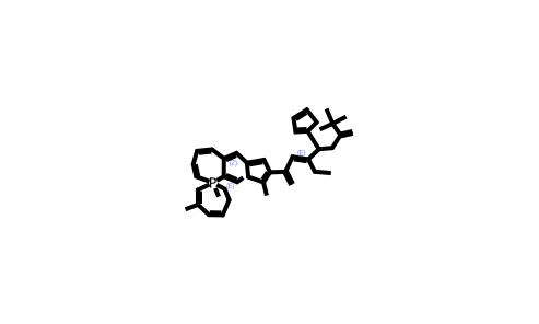 C=C(/C=C(\CC)C(CC(=C)C(C)(C)C)C1=CC=CC1)C1=C(C)CC(/C=C2/C=CC=CP3(C)(C=C(C)C=CCC3)/C2=C/C)=C1